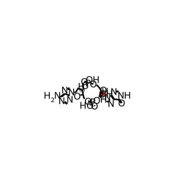 Nc1ncnc2c1ncn2C1C[C@@H]2OP(=O)(O)OCC3OC(n4cnc5c(=O)[nH]cnc54)[C@H](OP(=O)(O)OCC2O1)[C@@H]3O